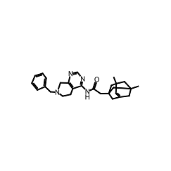 CC12C=C3CC(C)(C1)CC(CC(=O)Nc1ncnc4c1CCN(Cc1ccccc1)C4)(C3)C2